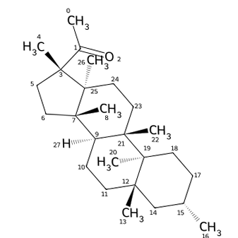 CC(=O)[C@@]1(C)CC[C@@]2(C)[C@@H]3CC[C@@]4(C)C[C@@H](C)CC[C@]4(C)[C@@]3(C)CC[C@@]21C